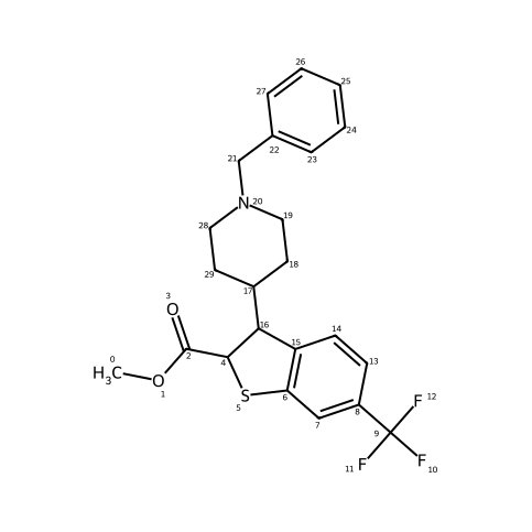 COC(=O)C1Sc2cc(C(F)(F)F)ccc2C1C1CCN(Cc2ccccc2)CC1